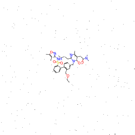 CCCCc1nc(C)c(CC(=O)N(C)C)c(=O)n1Cc1ccc(-c2ccccc2S(=O)(=O)Nc2noc(C)c2C)c(COCC)c1